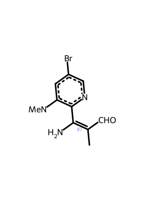 CNc1cc(Br)cnc1/C(N)=C(/C)C=O